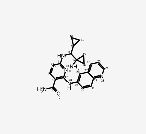 NC(=O)c1cnc(NC(C2CC2)C2(N)CC2)nc1Nc1ccc2ncccc2c1